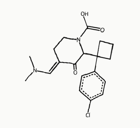 CN(C)C=C1CCN(C(=O)O)C(C2(c3ccc(Cl)cc3)CCC2)C1=O